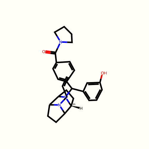 C=CCN1C2CCC1[C@H]1CCC2N1C(c1ccc(C(=O)N2CCCC2)cc1)c1cccc(O)c1